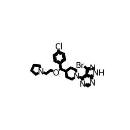 Clc1ccc([C@H](OCCN2CCCC2)C2CCN(c3ncnc4[nH]nc(Br)c34)CC2)cc1